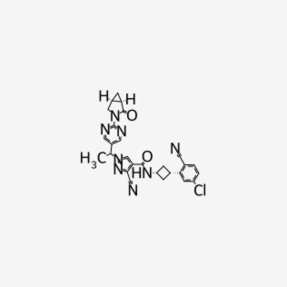 CC(c1cnc(N2C[C@H]3C[C@H]3C2=O)nc1)n1cc(C(=O)N[C@H]2C[C@@H](c3cc(Cl)ccc3C#N)C2)c(C#N)n1